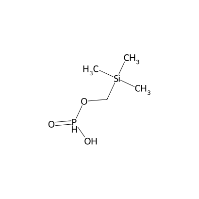 C[Si](C)(C)CO[PH](=O)O